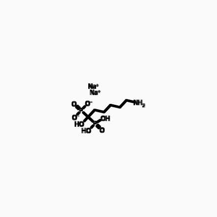 NCCCCCC(O)(P(=O)([O-])[O-])P(=O)(O)O.[Na+].[Na+]